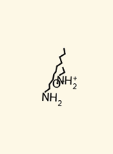 CCCCCCCCCCCN.CCC[NH2+][O-]